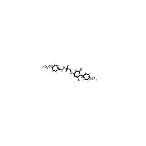 Cc1cc(OCC(C)(C)CCc2ccc(C(=O)O)cc2)cc(C)c1-c1ccc(C(F)(F)F)cc1